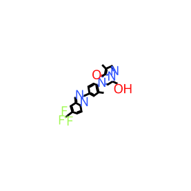 Cc1cc(-c2ncc3cc(C(F)(F)F)ccc3n2)ccc1N1CC(CO)n2ncc(C)c2C1=O